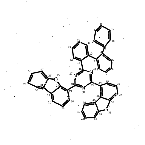 c1ccc(-c2ccccc2-c2ccccc2-c2nc(-c3cccc4c3oc3ccccc34)nc(-c3cccc4sc5ccccc5c34)n2)cc1